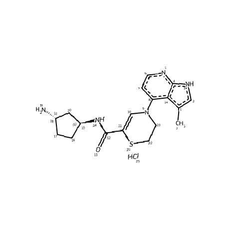 Cc1c[nH]c2nccc(N3C=C(C(=O)N[C@H]4CC[C@H](N)C4)SCC3)c12.Cl